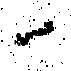 NC(=O)c1c(-c2ccc(Oc3ccccc3)cc2)nn2c1NCC[C@H]2C1CCN(C(=O)c2cn(CCC(O)CCC(O)CCC(O)CCC(O)CCCc3cccc4c3CN(C3CCC(=O)NC3=O)C4=O)nn2)CC1